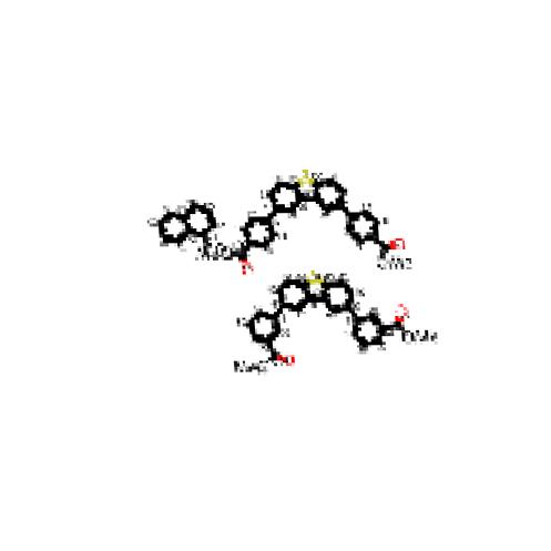 COC(=O)c1ccc(-c2ccc3sc4ccc(-c5ccc(C(=O)OC)cc5)cc4c3c2)cc1.COC(=O)c1cccc(-c2ccc3sc4ccc(-c5cccc(C(=O)OC)c5)cc4c3c2)c1.O=C(O)c1cccc2ccccc12